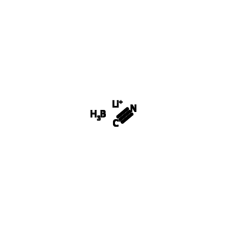 B.[C-]#N.[Li+]